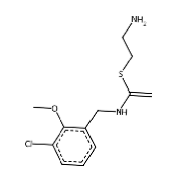 C=C(NCc1cccc(Cl)c1OC)SCCN